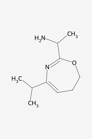 CC(C)C1=CCCOC(C(C)N)=N1